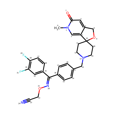 Cn1cc2c(cc1=O)COC21CCN(Cc2ccc(/C(=N/OCC#N)c3ccc(F)c(F)c3)cc2)CC1